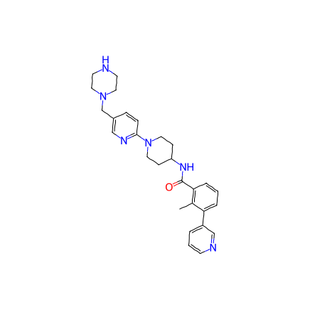 Cc1c(C(=O)NC2CCN(c3ccc(CN4CCNCC4)cn3)CC2)cccc1-c1cccnc1